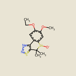 CCOc1cc2c(cc1OC)[S+]([O-])C(C)(C)c1snnc1-2